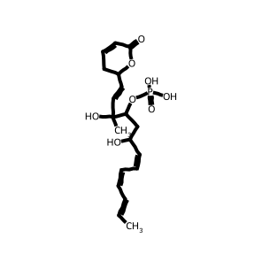 C/C=C/C=C\C=C/C(O)CC(OP(=O)(O)O)C(C)(O)/C=C/C1CC=CC(=O)O1